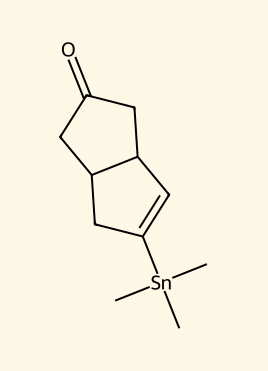 [CH3][Sn]([CH3])([CH3])[C]1=CC2CC(=O)CC2C1